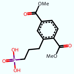 COC(=O)c1ccc(C(=O)OC)c(CCCP(=O)(O)O)c1